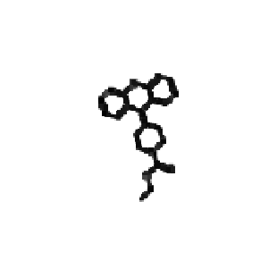 CCOC(=O)N1CCC(=C2c3ccccc3Sc3ccccc32)CC1